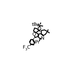 CC(C)c1nc2c(c3c1[C@@H](c1ccc(C(F)(F)F)cc1)OC31CCCC1I)C(O[Si](C)(C)C(C)(C)C)CC(C)(C)C2